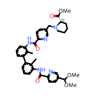 COC(=O)[C@@H]1CCCCN1Cc1ccc(C(=O)Nc2cccc(-c3cccc(NC(=O)c4ccc(C(OC)OC)cn4)c3C)c2C)nc1